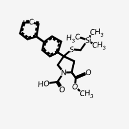 COC(=O)C1CC(SC[Si](C)(C)C)(c2ccc(-c3ccccc3)cc2)CN1C(=O)O